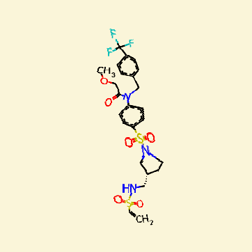 C=CS(=O)(=O)NC[C@H]1CCN(S(=O)(=O)c2ccc(N(Cc3ccc(C(F)(F)F)cc3)C(=O)COC)cc2)C1